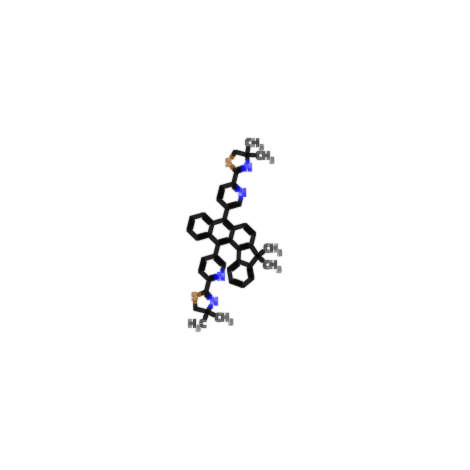 CC1(C)CSC(c2ccc(-c3c4ccccc4c(-c4ccc(C5=NC(C)(C)CS5)nc4)c4c5c(ccc34)C(C)(C)c3ccccc3-5)cn2)=N1